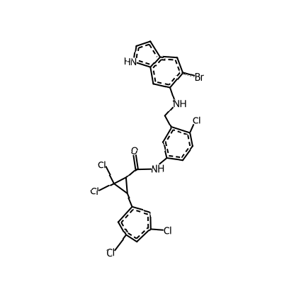 O=C(Nc1ccc(Cl)c(CNc2cc3[nH]ccc3cc2Br)c1)C1C(c2cc(Cl)cc(Cl)c2)C1(Cl)Cl